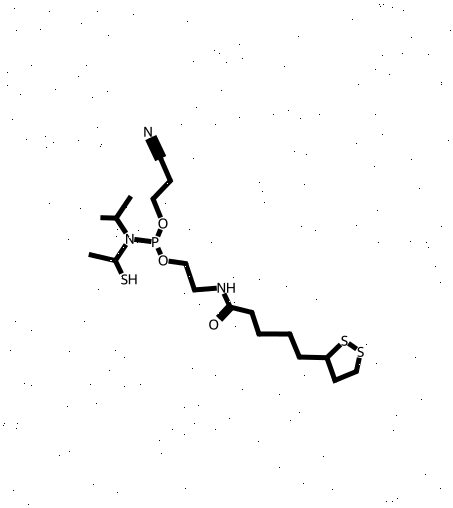 CC(C)N(C(C)S)P(OCCC#N)OCCNC(=O)CCCCC1CCSS1